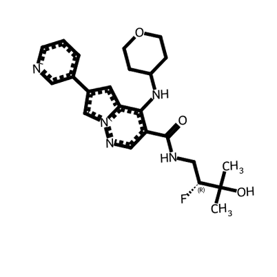 CC(C)(O)[C@H](F)CNC(=O)c1cnn2cc(-c3cccnc3)cc2c1NC1CCOCC1